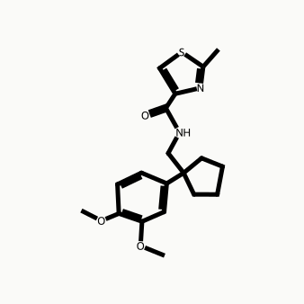 COc1ccc(C2(CNC(=O)c3csc(C)n3)CCCC2)cc1OC